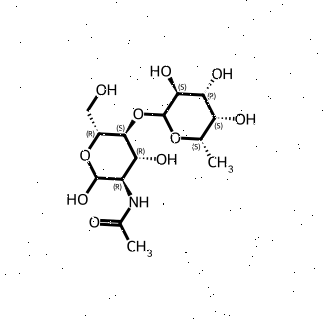 CC(=O)N[C@H]1C(O)O[C@H](CO)[C@@H](OC2O[C@@H](C)[C@@H](O)[C@@H](O)[C@@H]2O)[C@@H]1O